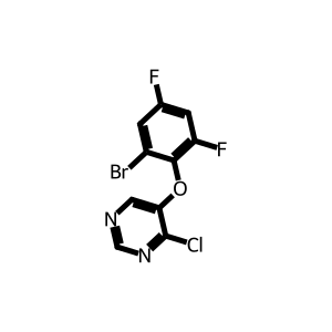 Fc1cc(F)c(Oc2cncnc2Cl)c(Br)c1